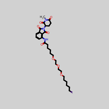 CN1C(=O)CCC(N2C(=O)c3cccc(NC(=O)CCCCCOCCOCCOCCCCCCI)c3C2=O)C1=O